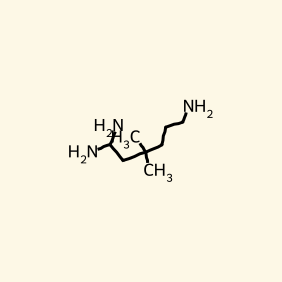 CC(C)(CCCN)CC(N)N